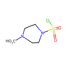 O=C(O)N1CCN(S(=O)(=O)Cl)CC1